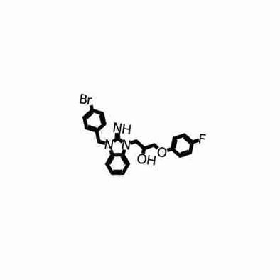 N=c1n(Cc2ccc(Br)cc2)c2ccccc2n1CC(O)COc1ccc(F)cc1